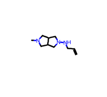 C=CCNN1CC2CN(C)CC2C1